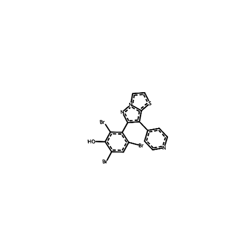 Oc1c(Br)cc(Br)c(-c2nn3ccsc3c2-c2ccncc2)c1Br